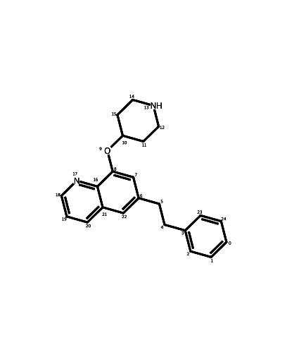 c1ccc(CCc2cc(OC3CCNCC3)c3ncccc3c2)cc1